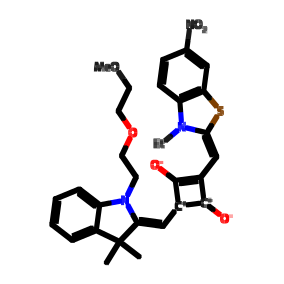 CCN1C(=Cc2c([O-])[c+](C=C3N(CCOCCOC)c4ccccc4C3(C)C)[c+]2[O-])Sc2cc([N+](=O)[O-])ccc21